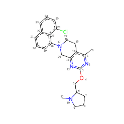 Cc1nc(OCC2CCCN2C)nc2c1CCN(c1cccc3cccc(Cl)c13)C2